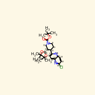 CC(C)(C)OC(=O)N1CCC(c2ccc3nc(Cl)ccc3n2)[C@H](B2OC(C)(C)C(C)(C)O2)C1